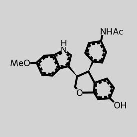 COc1ccc2c([C@@H]3COc4cc(O)ccc4[C@@H]3c3ccc(NC(C)=O)cc3)c[nH]c2c1